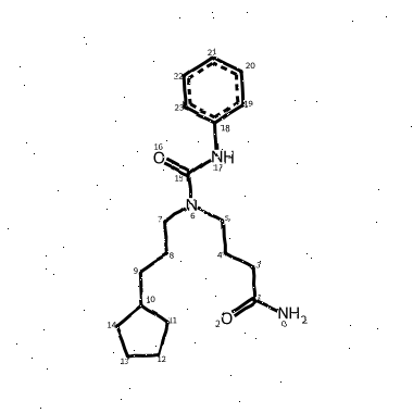 NC(=O)CCCN(CCCC1CCCC1)C(=O)Nc1ccccc1